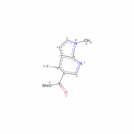 COC(=O)c1cnc2c(ccn2C)c1F